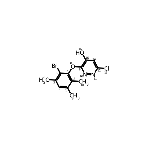 Cc1cc(C)c(Br)c(Oc2nnc(Cl)cc2O)c1C